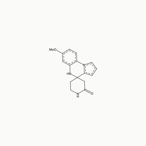 COc1ccc2c(c1)NC1(CCNC(=O)C1)c1cccn1-2